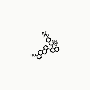 NC(=O)N(Cc1ccc(OC(F)(F)F)cc1)c1c(-c2cccc3c4c(ccc23)C2=C(CC4)C(O)CC=C2)ccc2ccccc12